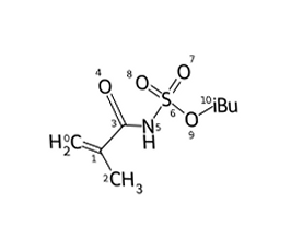 C=C(C)C(=O)NS(=O)(=O)OC(C)CC